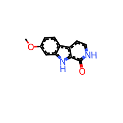 COc1ccc2c(c1)[nH]c1c(=O)[nH]ccc12